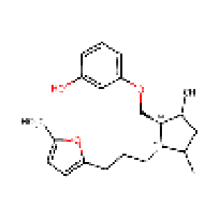 CC1CC(C#N)[C@H](COc2cccc(O)c2)[C@H]1CCCc1ccc(C(=O)O)o1